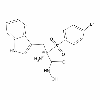 N[C@@](Cc1c[nH]c2ccccc12)(C(=O)NO)S(=O)(=O)c1ccc(Br)cc1